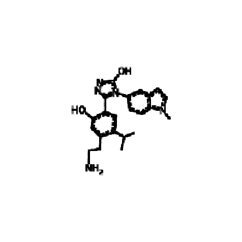 CC(C)c1cc(-c2nnc(O)n2-c2ccc3c(ccn3C)c2)c(O)cc1CCN